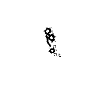 O=Cc1ccc(SCCCCC2(c3ccccc3)CCCCC2)c(Cl)c1